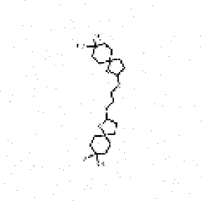 CC1(C)CCC2(CCC(OCCOC3CCC4(CCC(C)(C)CC4)O3)O2)CC1